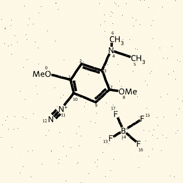 COc1cc(N(C)C)c(OC)cc1[N+]#N.F[B-](F)(F)F